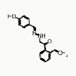 C=Cc1ccccc1C(=O)CNN=Cc1ccc(O)cc1